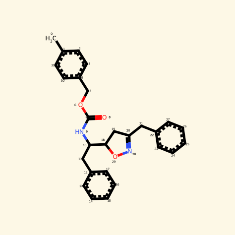 Cc1ccc(COC(=O)NC(Cc2ccccc2)C2CC(Cc3ccccc3)=NO2)cc1